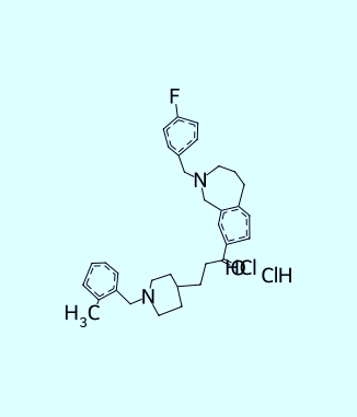 Cc1ccccc1CN1CCC(CCC(=O)c2ccc3c(c2)CN(Cc2ccc(F)cc2)CCC3)CC1.Cl.Cl